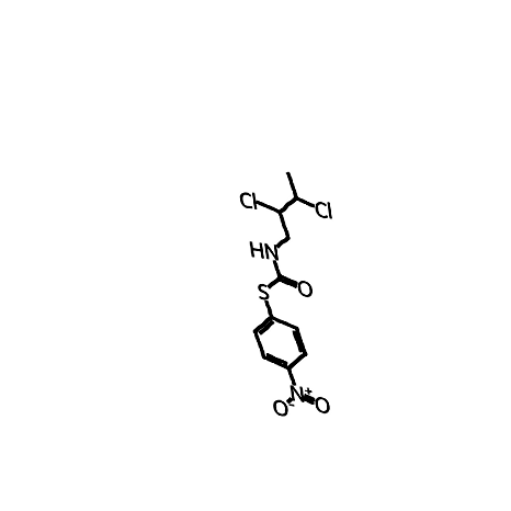 CC(Cl)C(Cl)CNC(=O)Sc1ccc([N+](=O)[O-])cc1